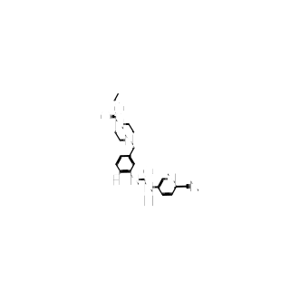 CCOC(=O)N1CCN(Cc2ccc(F)c(NC(=O)Nc3ccc(C#N)nc3)c2)CC1